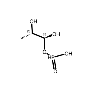 C[C@H](O)[C@@H](O)O[PH](=O)O